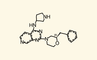 c1ccc(C[C@@H]2CN(c3nc(NC4CCNC4)c4ccncc4n3)CCO2)cc1